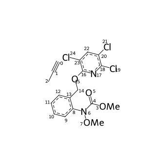 C#CC.COC(=O)N(OC)c1ccccc1COc1nc(Cl)c(Cl)cc1Cl